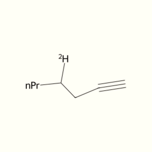 [2H]C(CC#C)CCC